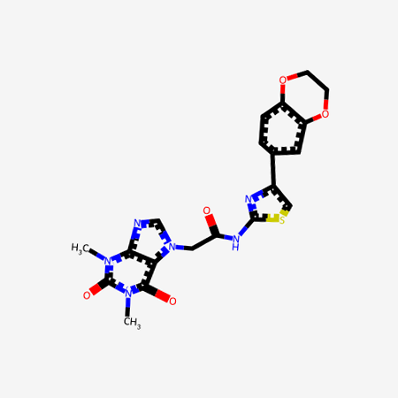 Cn1c(=O)c2c(ncn2CC(=O)Nc2nc(-c3ccc4c(c3)OCCO4)cs2)n(C)c1=O